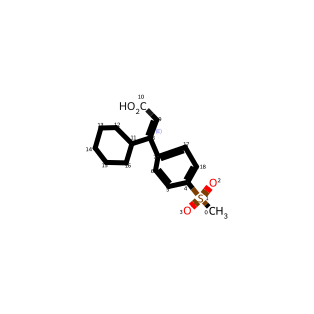 CS(=O)(=O)c1ccc(/C(=C/C(=O)O)C2CCCCC2)cc1